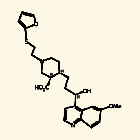 COc1ccc2nccc([C@H](O)CC[C@@H]3CCN(CCSc4ccco4)C[C@@H]3C(=O)O)c2c1